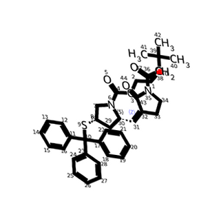 C=CCOC(=O)N1C[C@@H](SC(c2ccccc2)(c2ccccc2)c2ccccc2)C[C@H]1/C=C1/CCN(C(=O)OC(C)(C)C)C1=O